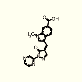 Cn1cc(C=C2C=NN(c3cnccn3)C2=O)c2ccc(C(=O)O)cc21